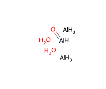 O.O.[AlH3].[AlH3].[O]=[AlH]